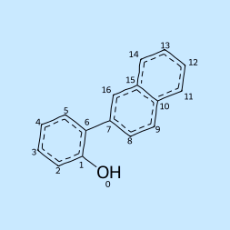 Oc1ccccc1-c1ccc2ccccc2c1